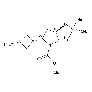 CN1CC([C@@H]2C[C@@H](O[Si](C)(C)C(C)(C)C)CN2C(=O)OC(C)(C)C)C1